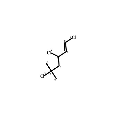 CC(C)(Cl)CC(Cl)C=CCl